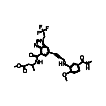 CNC(=O)c1ccc(OC)c(NCC#Cc2cc(C(=O)NC(C)CC(=O)OC)c3ncn(CC(F)(F)F)c3c2)c1